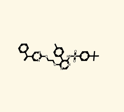 C=C(c1ccccc1)c1cnc(OCCOc2ncnc(NS(=O)(=O)c3ccc(C(C)(C)C)cc3)c2-c2ccc(C)cc2)nc1